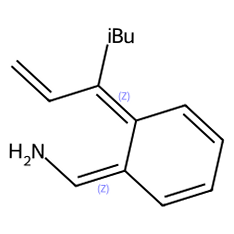 C=C/C(=c1/cccc/c1=C/N)C(C)CC